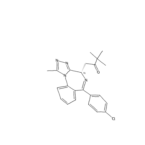 Cc1nnc2n1-c1ccccc1C(c1ccc(Cl)cc1)=N[C@H]2CC(=O)C(C)(C)C